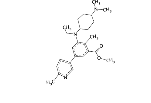 CCN(c1cc(-c2ccc(C)nc2)cc(C(=O)OC)c1C)C1CCC(N(C)C)CC1